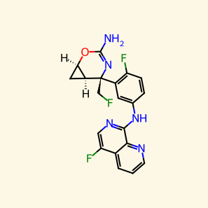 NC1=N[C@](CF)(c2cc(Nc3ncc(F)c4cccnc34)ccc2F)[C@H]2C[C@H]2O1